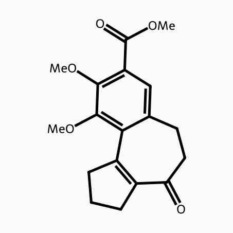 COC(=O)c1cc2c(c(OC)c1OC)C1=C(CCC1)C(=O)CC2